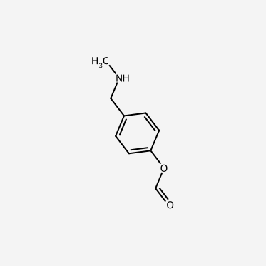 CNCc1ccc(OC=O)cc1